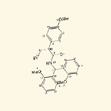 COc1ccc([C@@H](CC(C)C)C(=O)NC(c2ccccc2OC)c2ccccc2OC)cc1